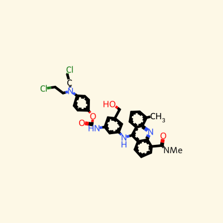 CNC(=O)c1cccc2c(Nc3cc(CO)cc(NC(=O)Oc4ccc(N(CCCl)CCCl)cc4)c3)c3cccc(C)c3nc12